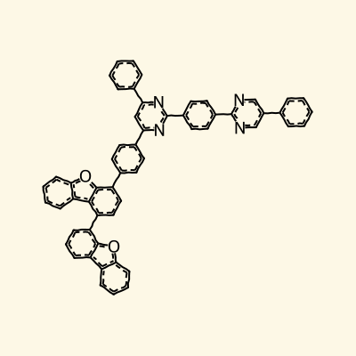 c1ccc(-c2cnc(-c3ccc(-c4nc(-c5ccccc5)cc(-c5ccc(-c6ccc(-c7cccc8c7oc7ccccc78)c7c6oc6ccccc67)cc5)n4)cc3)nc2)cc1